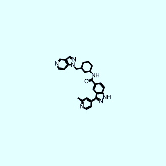 Cc1cc(-c2n[nH]c3ccc(C(=O)NC4CCCC(Cn5ncc6cnccc65)C4)cc23)ccn1